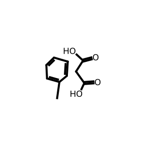 Cc1ccccc1.O=C(O)CC(=O)O